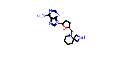 Nc1ncnc2c1ncn2[C@H]1CC[C@@H](CN2CCCCC23CNC3)O1